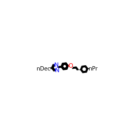 CCCCCCCCCCc1cnc(-c2ccc(OCCC[C@H]3CC[C@H](CCC)CC3)cc2)nc1